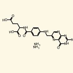 N.N.Nc1nc2ncc(CNc3ccc(C(=O)NC(CCC(=O)O)C(=O)O)cc3)nc2c(=O)[nH]1